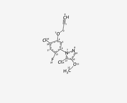 C#CCOc1cc(-n2ncc(OC)c2Cl)c(F)cc1Cl